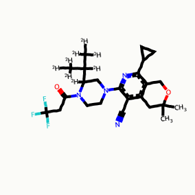 [2H]C([2H])([2H])C([2H])(C([2H])([2H])[2H])C1([2H])CN(c2nc(C3CC3)c3c(c2C#N)CC(C)(C)OC3)CCN1C(=O)CC(F)(F)F